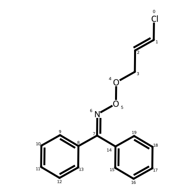 ClC=CCOON=C(c1ccccc1)c1ccccc1